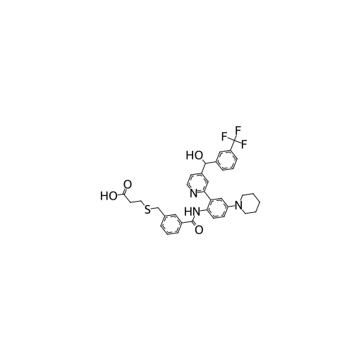 O=C(O)CCSCc1cccc(C(=O)Nc2ccc(N3CCCCC3)cc2-c2cc(C(O)c3cccc(C(F)(F)F)c3)ccn2)c1